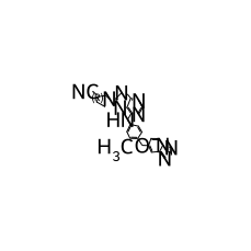 Cc1cc(Nc2ncnc3cnc(N4CC[C@@H](C#N)C4)nc23)ccc1Oc1ccn2ncnc2c1